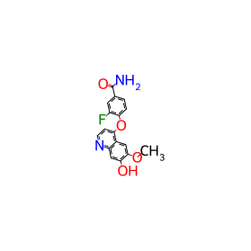 COc1cc2c(Oc3ccc(C(N)=O)cc3F)ccnc2cc1O